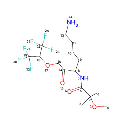 COC(C)(C)C(=O)NC(CCCCN)C(=O)COC(C(F)(F)F)C(F)(F)F